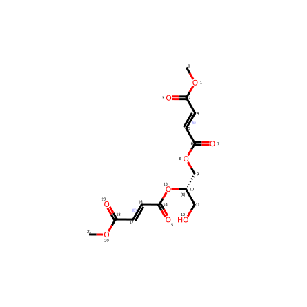 COC(=O)/C=C/C(=O)OC[C@H](CO)OC(=O)/C=C/C(=O)OC